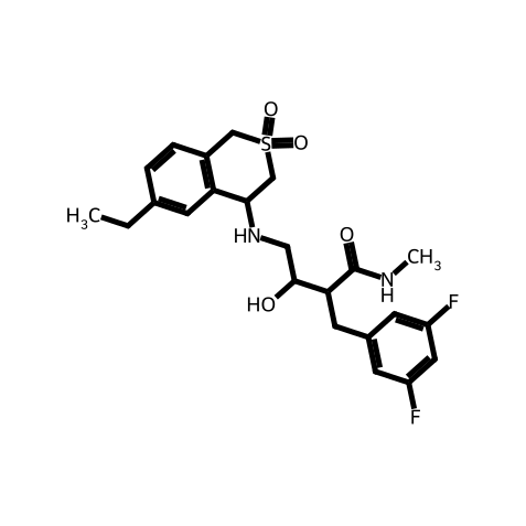 CCc1ccc2c(c1)C(NCC(O)C(Cc1cc(F)cc(F)c1)C(=O)NC)CS(=O)(=O)C2